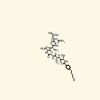 CCCCCCc1ccc(C(=O)N[C@H](CO)C(=O)N[C@H](N)C(=O)NCC(=O)N(C)[C@H](C(=O)N[C@@H](N)C(=O)N[C@@H](CC(N)=O)C(=O)NCB(O)O)C(C)O)cc1